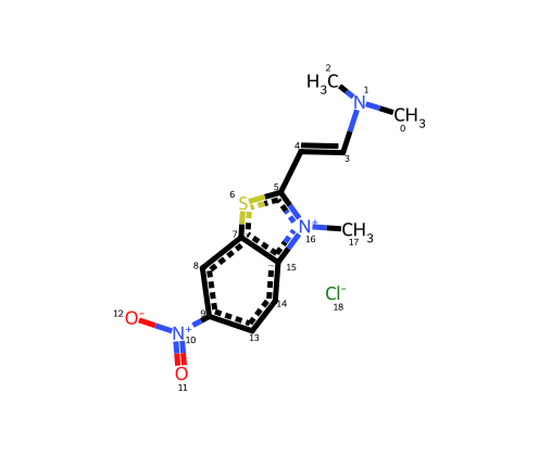 CN(C)/C=C/c1sc2cc([N+](=O)[O-])ccc2[n+]1C.[Cl-]